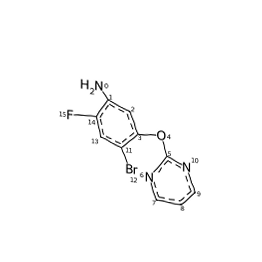 Nc1cc(Oc2ncccn2)c(Br)cc1F